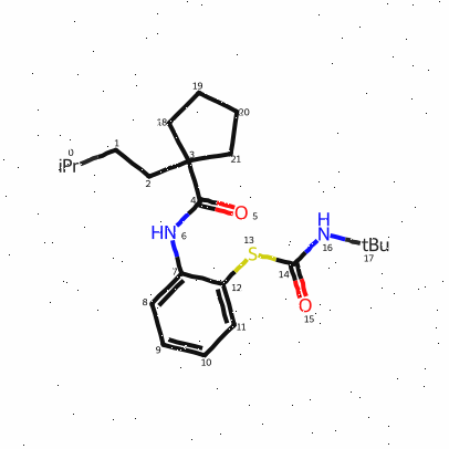 CC(C)CCC1(C(=O)Nc2ccccc2SC(=O)NC(C)(C)C)CCCC1